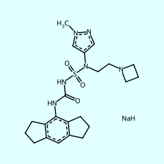 Cn1cc(N(CCN2CCC2)S(=O)(=O)NC(=O)Nc2c3c(cc4c2CCC4)CCC3)cn1.[NaH]